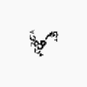 Cl.O=C(O)C[C@@H]1Cc2ccc(OCCc3cn4c(n3)NCCC4)cc2C(CCN2CCOCC2)N(CC(F)(F)F)C1=O